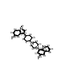 Cn1cc(C2CCC(N3CCN(c4cc(F)cc5cccnc45)CC3)CC2)c2cc(F)ccc21